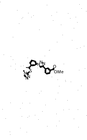 COC(=O)c1cccc(-c2cn(-c3cccc([C@H](C)Sc4nncn4C)c3)nn2)c1